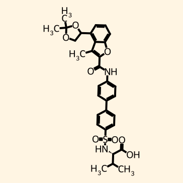 Cc1c(C(=O)Nc2ccc(-c3ccc(S(=O)(=O)N[C@H](C(=O)O)C(C)C)cc3)cc2)oc2cccc(C3COC(C)(C)O3)c12